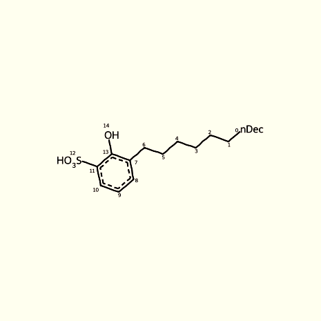 CCCCCCCCCCCCCCCCc1cccc(S(=O)(=O)O)c1O